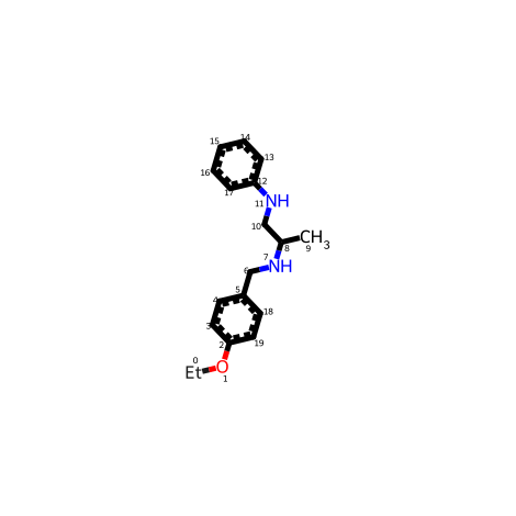 CCOc1ccc(CNC(C)CNc2ccccc2)cc1